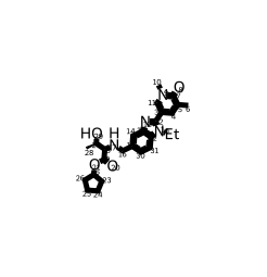 CCn1c(-c2cc(C)c(=O)n(C)c2)nc2cc(CNC(C(=O)OC3CCCC3)[C@@H](C)O)ccc21